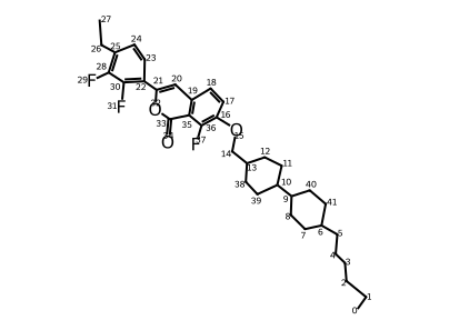 CCCCCCC1CCC(C2CCC(COc3ccc4cc(-c5ccc(CC)c(F)c5F)oc(=O)c4c3F)CC2)CC1